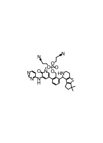 Cn1cc(-c2cccc(C3NCCc4sc5c(c43)CCC5(C)C)c2COP(=O)(OCCC#N)OCCC#N)cc(Nc2ccncn2)c1=O